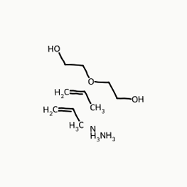 C=CC.C=CC.N.N.OCCOCCO